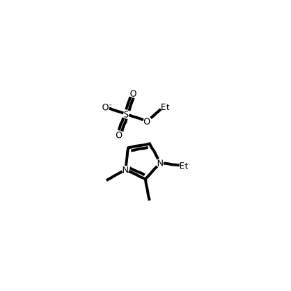 CCOS(=O)(=O)[O-].CCn1cc[n+](C)c1C